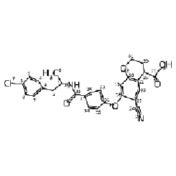 CC(Cc1ccc(Cl)cc1)NC(=O)c1ccc(Oc2cc3c(cc2C#N)C(C(=O)O)CCO3)cc1